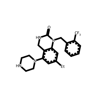 CCc1cc(N2CCNCC2)c2c(c1)N(Cc1ccccc1C(F)(F)F)C(=O)NC2